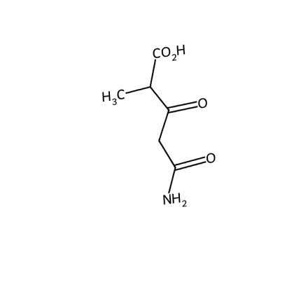 CC(C(=O)O)C(=O)CC(N)=O